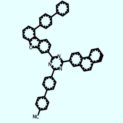 N#Cc1ccc(-c2ccc(-c3nc(-c4ccc5c(ccc6c#cccc65)c4)nc(-c4ccc5c(c4)oc4cccc(-c6ccc(-c7ccccc7)cc6)c45)n3)cc2)cc1